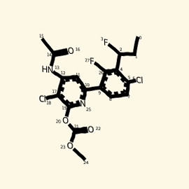 CCC(F)c1c(Cl)ccc(-c2cc(NC(C)=O)c(Cl)c(OC(=O)OC)n2)c1F